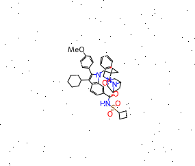 COc1ccc(-c2c(C3CCCCC3)c3ccc(C(=O)NS(=O)(=O)C4CCC4)cc3n2CC2(C(=O)N3C4CC3CN(Cc3ccccc3)C4)CC2)cc1